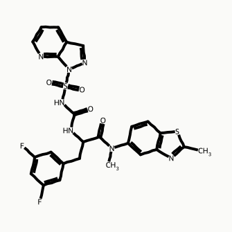 Cc1nc2cc(N(C)C(=O)C(Cc3cc(F)cc(F)c3)NC(=O)NS(=O)(=O)n3ncc4cccnc43)ccc2s1